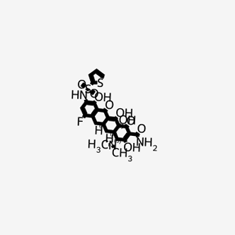 CN(C)[C@@H]1C(O)=C(C(N)=O)C(=O)[C@@]2(O)C(O)=C3C(=O)c4c(O)c(NS(=O)(=O)c5cccs5)cc(F)c4C[C@H]3C[C@@H]12